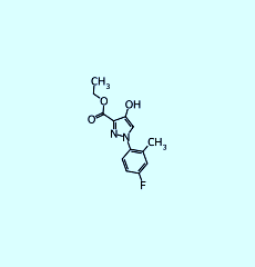 CCOC(=O)c1nn(-c2ccc(F)cc2C)cc1O